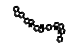 c1ccc(-c2ccc3ccc4ccc(-c5ccc(-c6ccc7ccc(-c8ccc9cc(-c%10ccc%11c(ccc%12ccccc%12%11)c%10)ccc9n8)cc7n6)cc5)nc4c3n2)cc1